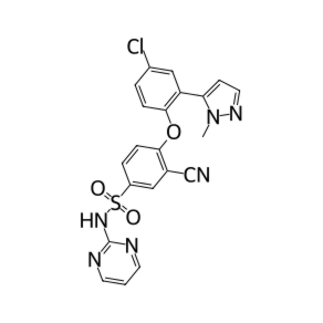 Cn1nccc1-c1cc(Cl)ccc1Oc1ccc(S(=O)(=O)Nc2ncccn2)cc1C#N